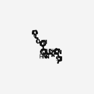 Cc1ccc(-c2nccc3[nH]c(-c4n[nH]c5ncc(-c6cncc(OCCN7CCCC7)c6)cc45)nc23)s1